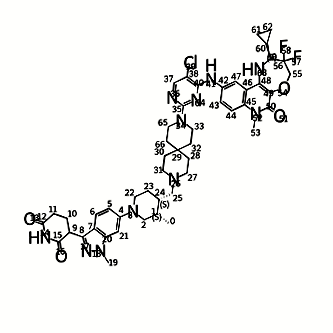 C[C@@H]1CN(c2ccc3c(C4CCC(=O)NC4=O)nn(C)c3c2)CC[C@@H]1CN1CCC2(CC1)CCN(c1ncc(Cl)c(Nc3ccc4c(c3)c3c(c(=O)n4C)OCC(F)(F)[C@H](C4CC4)N3)n1)CC2